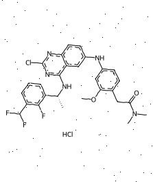 COc1cc(Nc2ccc3nc(Cl)nc(N[C@H](C)c4cccc(C(F)F)c4F)c3c2)ccc1CC(=O)N(C)C.Cl